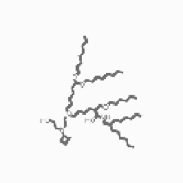 CCCCCCCCOC(CCCCCN(CCCCC(COCCCCCC)C(O)NCC(CCCCCC)CCCCCC)CCN(CCO)C1CCC1)OCCCCCCCC